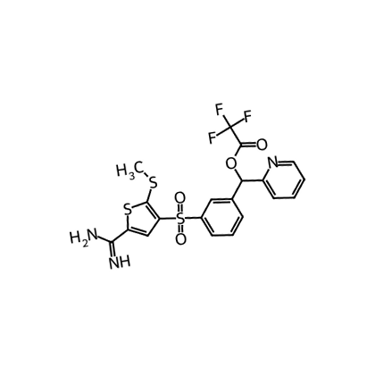 CSc1sc(C(=N)N)cc1S(=O)(=O)c1cccc(C(OC(=O)C(F)(F)F)c2ccccn2)c1